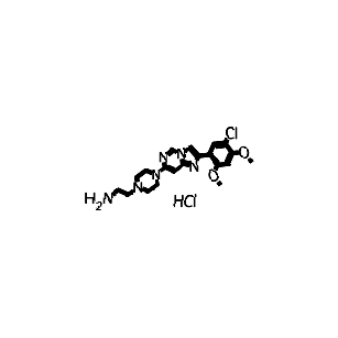 COc1cc(OC)c(-c2cn3cnc(N4CCN(CCN)CC4)cc3n2)cc1Cl.Cl